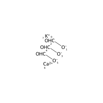 O=C[O-].O=C[O-].O=C[O-].[Ca+2].[K+]